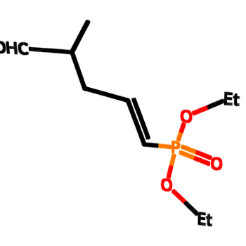 CCOP(=O)(/C=C/CC(C)C=O)OCC